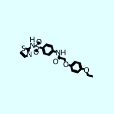 CCOc1ccc(OCC(=O)Nc2ccc(S(=O)(=O)Nc3nccs3)cc2)cc1